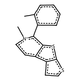 Cc1ccccc1-c1c2sc3sccc3c2cc[n+]1C